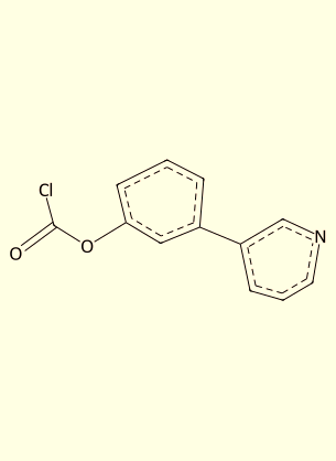 O=C(Cl)Oc1cccc(-c2cccnc2)c1